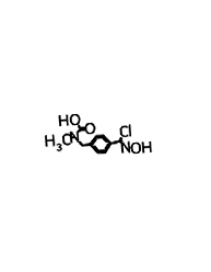 CN(Cc1ccc(C(Cl)=NO)cc1)C(=O)O